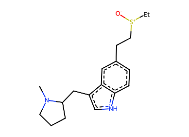 CC[S+]([O-])CCc1ccc2[nH]cc(CC3CCCN3C)c2c1